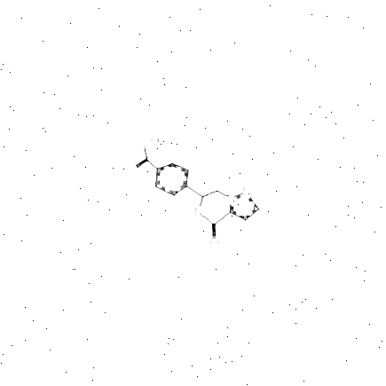 COC(=O)c1ccc(C2Cn3nccc3C(=O)N2)cc1